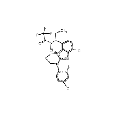 CCC(c1ccc(Cl)c2nc3n(c12)CCCN3c1ccc(Cl)cc1Cl)N(C)C(=O)C(F)(F)F